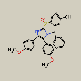 COc1ccc(-c2nc([S+]([O-])c3ccc(C)cc3)n(Cc3ccccc3)c2-c2ccc(OC)cc2)cc1